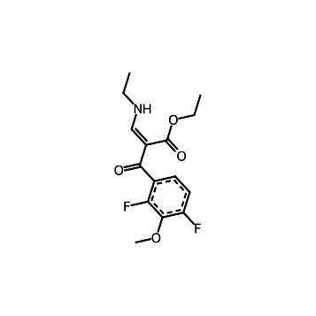 CCNC=C(C(=O)OCC)C(=O)c1ccc(F)c(OC)c1F